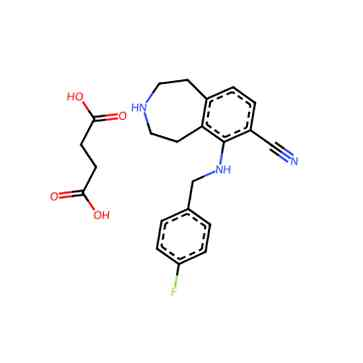 N#Cc1ccc2c(c1NCc1ccc(F)cc1)CCNCC2.O=C(O)CCC(=O)O